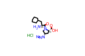 Cl.[N-]=[N+]=N[C@H]1C[C@@H](C(=O)O)N(C(=O)[C@H](N)CC2CCCCC2)C1